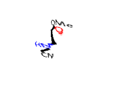 COC(=O)CCNCCC#N